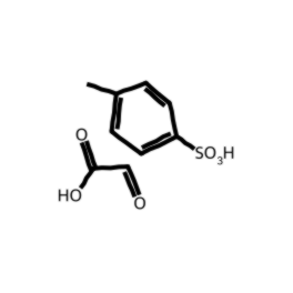 Cc1ccc(S(=O)(=O)O)cc1.O=CC(=O)O